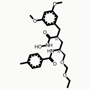 CCOCOC[C@H](C[C@H](Cc1cc(OC)cc(OC)c1)C(=O)NO)NC(=O)c1ccc(C)cc1